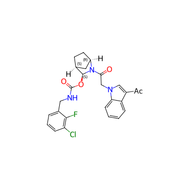 CC(=O)c1cn(CC(=O)N2[C@@H]3CC[C@@H](C3)[C@@H]2OC(=O)NCc2cccc(Cl)c2F)c2ccccc12